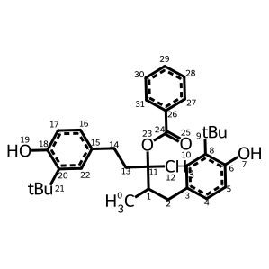 CC(Cc1ccc(O)c(C(C)(C)C)c1)C(C)(CCc1ccc(O)c(C(C)(C)C)c1)OC(=O)c1ccccc1